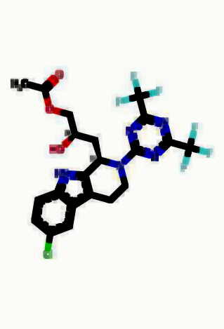 CC(=O)OC[C@H](O)C[C@@H]1c2[nH]c3ccc(Cl)cc3c2CCN1c1nc(C(F)(F)F)nc(C(F)(F)F)n1